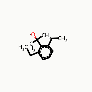 CCc1cccc(CC)c1C(C)(C)[O]